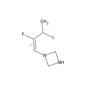 CC(I)/C(F)=C\N1CNC1